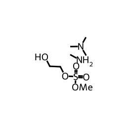 CN.CN(C)C.COS(=O)(=O)OCCO